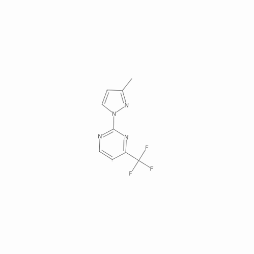 Cc1ccn(-c2nc[c]c(C(F)(F)F)n2)n1